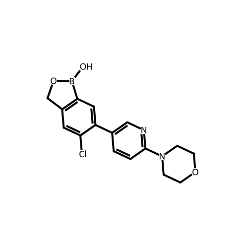 OB1OCc2cc(Cl)c(-c3ccc(N4CCOCC4)nc3)cc21